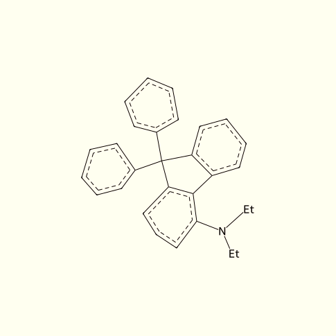 CCN(CC)c1cccc2c1-c1ccccc1C2(c1ccccc1)c1ccccc1